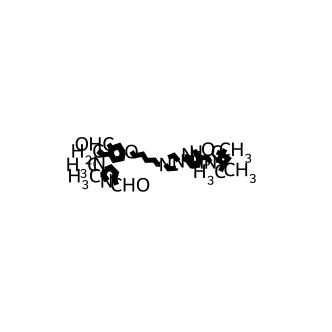 C=C(c1ccc(OCCCCCN2CCN(c3ccc(C(=O)NC4C(C)(C)CC4(C)C)cn3)CC2)cc1C=O)N(C)c1ccc(C=O)nc1C